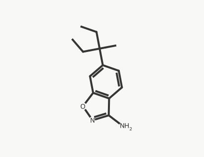 CCC(C)(CC)c1ccc2c(N)noc2c1